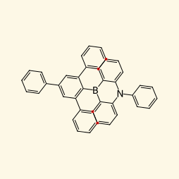 c1ccc(-c2cc(-c3ccccc3)c(B3c4ccccc4N(c4ccccc4)c4ccccc43)c(-c3ccccc3)c2)cc1